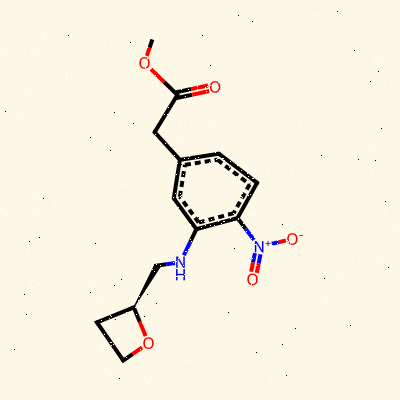 COC(=O)Cc1ccc([N+](=O)[O-])c(NC[C@@H]2CCO2)c1